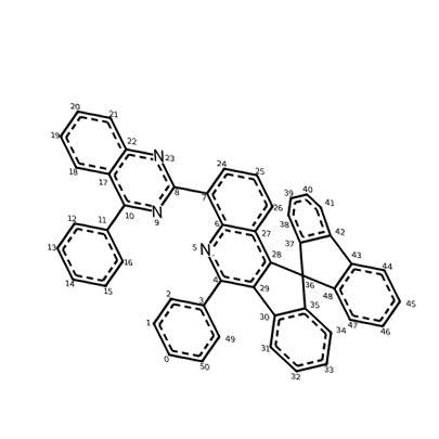 c1ccc(-c2nc3c(-c4nc(-c5ccccc5)c5ccccc5n4)cccc3c3c2-c2ccccc2C32c3ccccc3-c3ccccc32)cc1